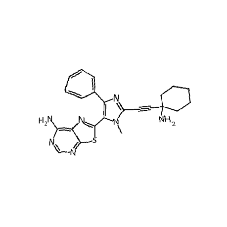 Cn1c(C#CC2(N)CCCCC2)nc(-c2ccccc2)c1-c1nc2c(N)ncnc2s1